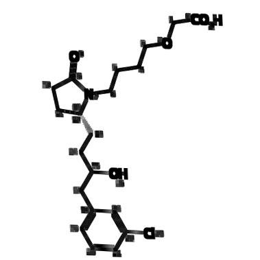 O=C(O)COCCCCN1C(=O)CC[C@H]1CCC(O)Cc1cccc(Cl)c1